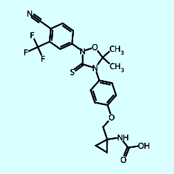 CC1(C)ON(c2ccc(C#N)c(C(F)(F)F)c2)C(=S)N1c1ccc(OCC2(NC(=O)O)CC2)cc1